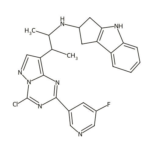 CC(NC1Cc2[nH]c3ccccc3c2C1)C(C)c1cnn2c(Cl)nc(-c3cncc(F)c3)nc12